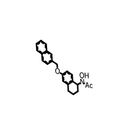 CC(=O)N(O)C1CCCc2cc(OCc3ccc4ccccc4c3)ccc21